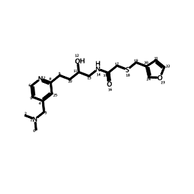 CN(C)Cc1ccnc(CCC(O)CNC(=O)CSCc2ccoc2)c1